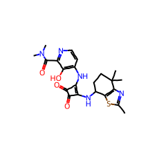 Cc1nc2c(s1)C(Nc1c(Nc3ccnc(C(=O)N(C)C)c3O)c(=O)c1=O)CCC2(C)C